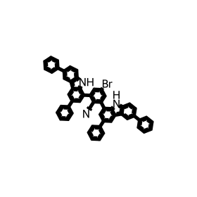 N#Cc1c(-c2cc(-c3ccccc3)cc3c2[nH]c2ccc(-c4ccccc4)cc23)cc(Br)cc1-c1cc(-c2ccccc2)cc2c1[nH]c1ccc(-c3ccccc3)cc12